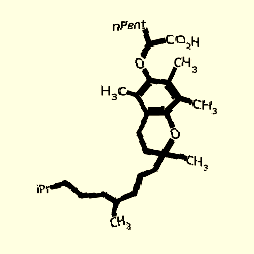 CCCCCC(Oc1c(C)c(C)c2c(c1C)CCC(C)(CCCC(C)CCCC(C)C)O2)C(=O)O